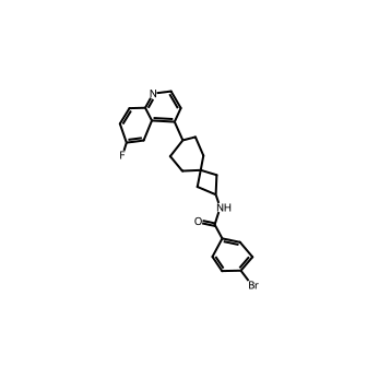 O=C(NC1CC2(CCC(c3ccnc4ccc(F)cc34)CC2)C1)c1ccc(Br)cc1